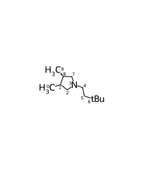 CC1CN(CCC(C)(C)C)C[C@@H]1C